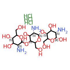 Cl.Cl.Cl.N[C@H]1C(O)[C@H](O)C(CO)O[C@H]1O[C@@H]1C(CO)O[C@@H](O[C@@H]2C(CO)O[C@@H](O)[C@@H](N)C2O)[C@@H](N)C1O